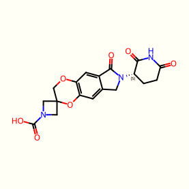 O=C1CC[C@H](N2Cc3cc4c(cc3C2=O)OCC2(CN(C(=O)O)C2)O4)C(=O)N1